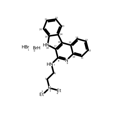 Br.Br.CCN(CC)CCNc1nc2ccccc2c2c1[nH]c1ccccc12